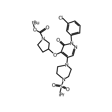 CC(C)S(=O)(=O)N1CCN(c2cnn(-c3cccc(Cl)c3)c(=O)c2OC2CCN(C(=O)OC(C)(C)C)C2)CC1